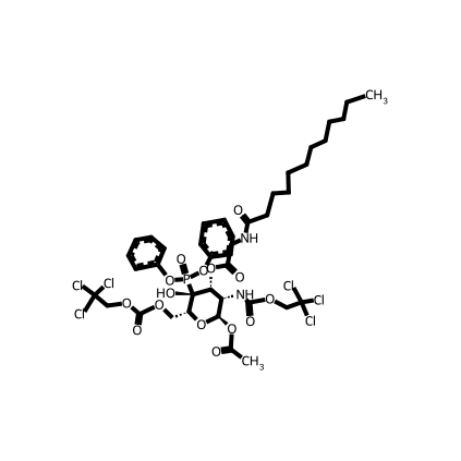 CCCCCCCCCCCC(=O)NCC(=O)O[C@@H]1[C@H](NC(=O)OCC(Cl)(Cl)Cl)[C@@H](OC(C)=O)O[C@H](COC(=O)OCC(Cl)(Cl)Cl)[C@]1(O)P(=O)(Oc1ccccc1)Oc1ccccc1